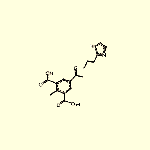 CC(=O)c1cc(C(=O)O)c(C)c(C(=O)O)c1.CCCc1ncc[nH]1